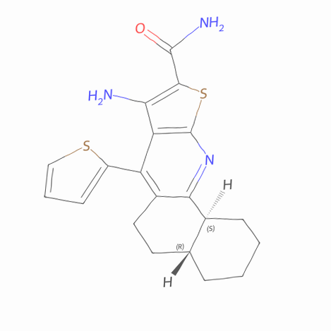 NC(=O)c1sc2nc3c(c(-c4cccs4)c2c1N)CC[C@H]1CCCC[C@H]31